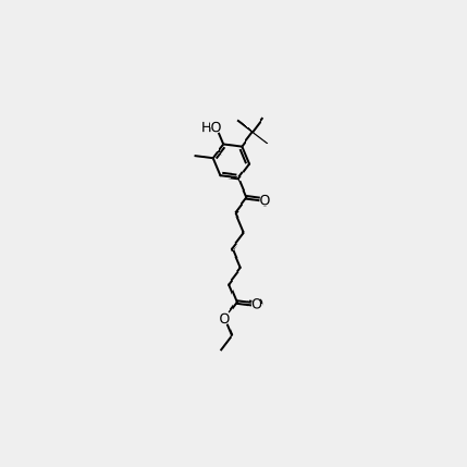 CCOC(=O)CCCCCC(=O)c1cc(C)c(O)c(C(C)(C)C)c1